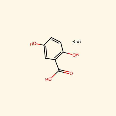 O=C(O)c1cc(O)ccc1O.[NaH]